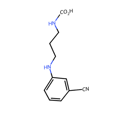 N#Cc1cccc(NCCCNC(=O)O)c1